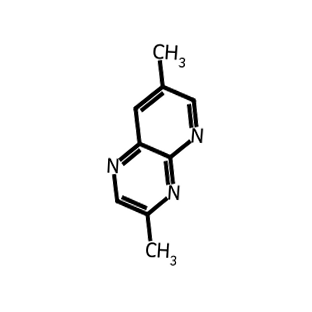 Cc1cnc2nc(C)cnc2c1